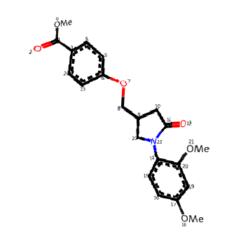 COC(=O)c1ccc(OCC2CC(=O)N(c3ccc(OC)cc3OC)C2)cc1